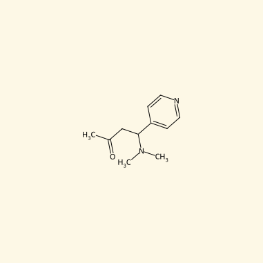 CC(=O)CC(c1ccncc1)N(C)C